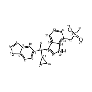 CC(c1ccc2sccc2c1)(c1c[nH]c2c(CS(C)(=O)=O)cccc12)C1CC1